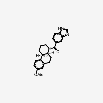 COc1ccc2c(c1)CC[C@H]1[C@H]2CCCN1C(=O)c1ccc2[nH]cnc2c1